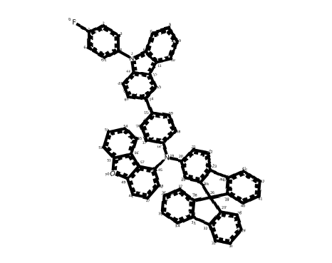 Fc1ccc(-n2c3ccccc3c3cc(-c4ccc(N(c5ccc6c(c5)C5(c7ccccc7-c7ccccc75)c5ccccc5-6)c5cccc6oc7ccccc7c56)cc4)ccc32)cc1